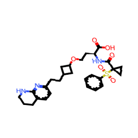 O=C(O)[C@H](CCOC1CC(CCc2ccc3c(n2)NCCC3)C1)NC(=O)C1(S(=O)(=O)c2ccccc2)CC1